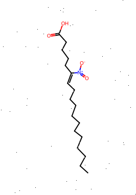 CCCCCCCCCCC/C=C(/CCCCC(=O)O)[N+](=O)[O-]